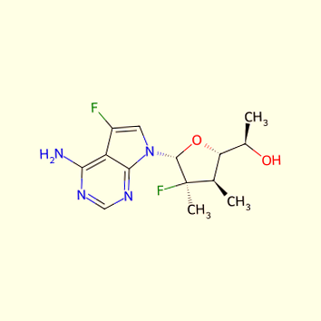 C[C@@H]1[C@@H]([C@@H](C)O)O[C@@H](n2cc(F)c3c(N)ncnc32)[C@]1(C)F